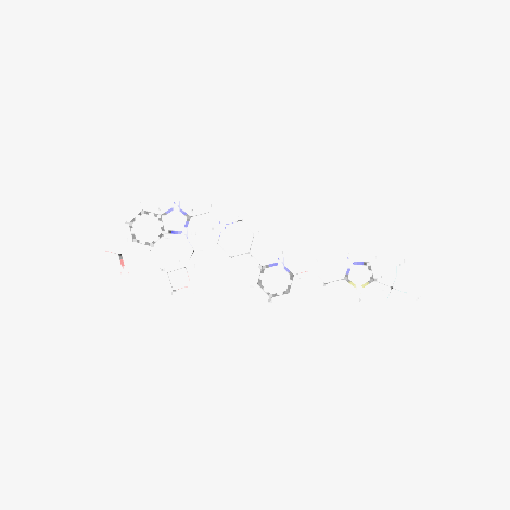 O=C(O)c1ccc2nc(CN3CCC(c4cccc(OCc5ncc(C(F)(F)F)s5)n4)CC3)n(C[C@@H]3CCO3)c2c1